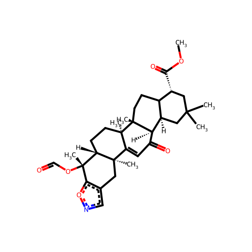 COC(=O)[C@@H]1CC(C)(C)C[C@@H]2C1CC[C@]1(C)[C@@H]2C(=O)C=C2[C@@]3(C)Cc4cnoc4[C@](C)(OC=O)[C@@H]3CC[C@]21C